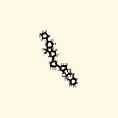 CC1(C)c2cc(-c3cccnc3)ccc2-c2ccc(-c3cccc(-c4ccc5c(c4)Oc4nc6ccccc6nc4O5)c3)cc21